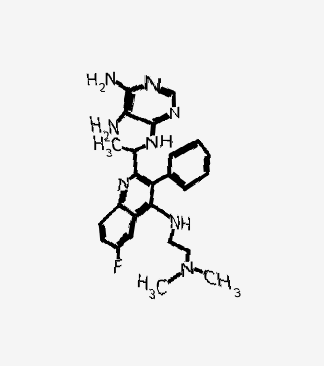 CC(Nc1ncnc(N)c1N)c1nc2ccc(F)cc2c(NCCN(C)C)c1-c1ccccc1